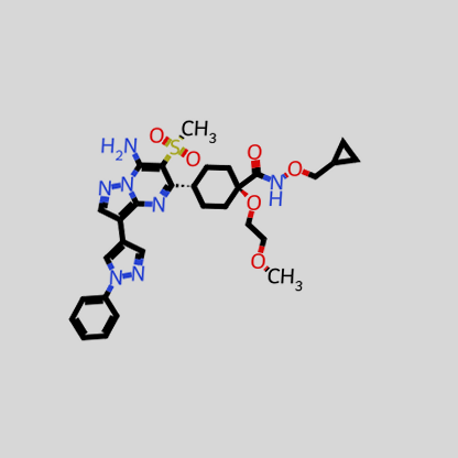 COCCO[C@]1(C(=O)NOCC2CC2)CC[C@@H](c2nc3c(-c4cnn(-c5ccccc5)c4)cnn3c(N)c2S(C)(=O)=O)CC1